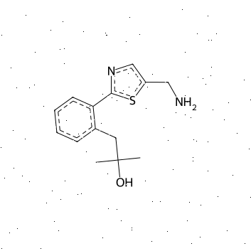 CC(C)(O)Cc1ccccc1-c1ncc(CN)s1